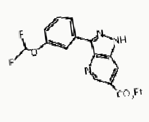 CCOC(=O)c1cnc2c(-c3cccc(OC(F)F)c3)n[nH]c2c1